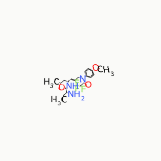 CCC[C@@H](/C=C/CN(C(=O)C(F)(F)F)c1ccc(OC)cc1)NC(=O)[C@@H](N)CC